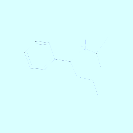 CCCC(NC(C)C)c1ccccc1